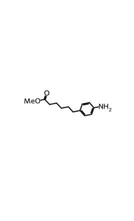 COC(=O)CCCCCc1ccc(N)cc1